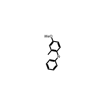 COc1ccc([N]c2ccccc2)c(C)c1